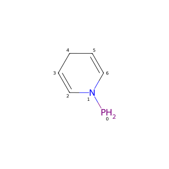 PN1C=CCC=C1